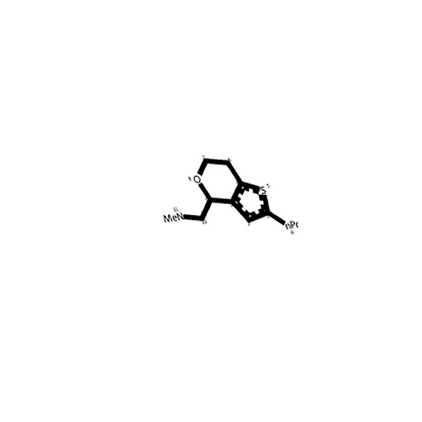 CCCc1cc2c(s1)CCOC2CNC